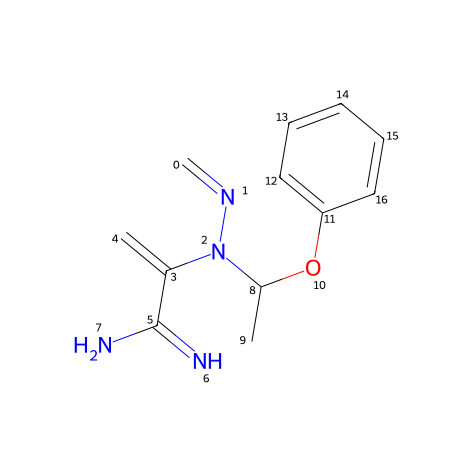 C=NN(C(=C)C(=N)N)C(C)Oc1ccccc1